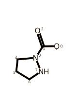 [O]C(=O)N1CCCN1